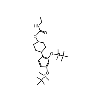 CCNC(=O)OC1CCC(c2ccc(O[Si](C)(C)C(C)(C)C)cc2O[Si](C)(C)C(C)(C)C)CC1